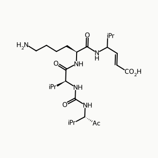 CC(=O)[C@@H](NC(=O)N[C@H](C(=O)N[C@@H](CCCCN)C(=O)NC(/C=C/C(=O)O)C(C)C)C(C)C)C(C)C